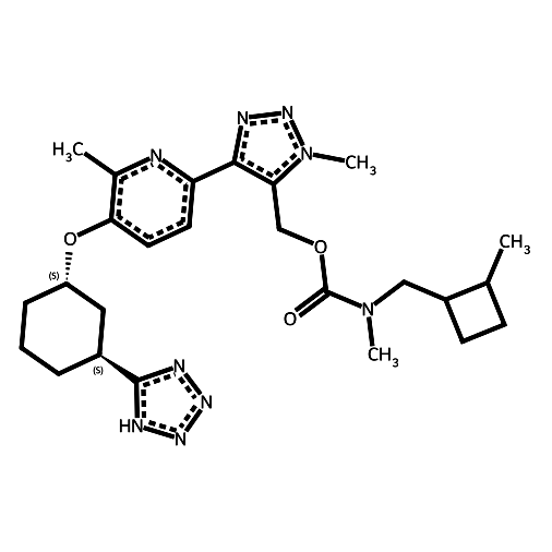 Cc1nc(-c2nnn(C)c2COC(=O)N(C)CC2CCC2C)ccc1O[C@H]1CCC[C@H](c2nnn[nH]2)C1